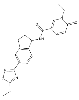 CCc1nc(-c2ccc3c(c2)CCC3NC(=O)c2ccc(=O)n(CC)c2)no1